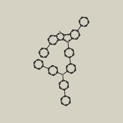 c1ccc(-c2ccc(N(c3ccc(-c4ccccc4)cc3)c3cccc(-c4ccc(-n5c6ccc(-c7ccccc7)cc6c6sc7ccc(-c8ccccc8)cc7c65)cc4)c3)cc2)cc1